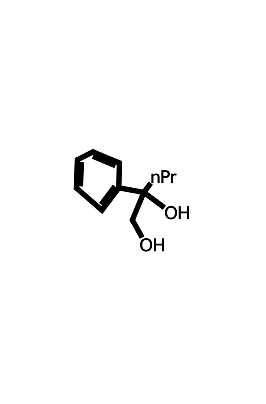 CCCC(O)(CO)c1ccccc1